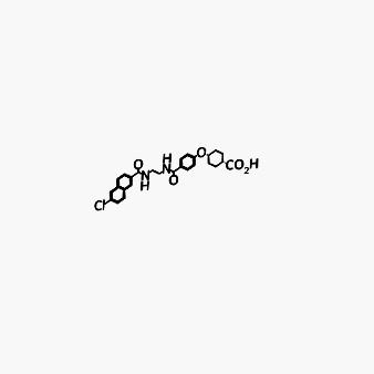 O=C(NCCNC(=O)c1ccc2cc(Cl)ccc2c1)c1ccc(O[C@H]2CC[C@@H](C(=O)O)CC2)cc1